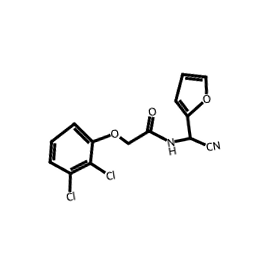 N#CC(NC(=O)COc1cccc(Cl)c1Cl)c1ccco1